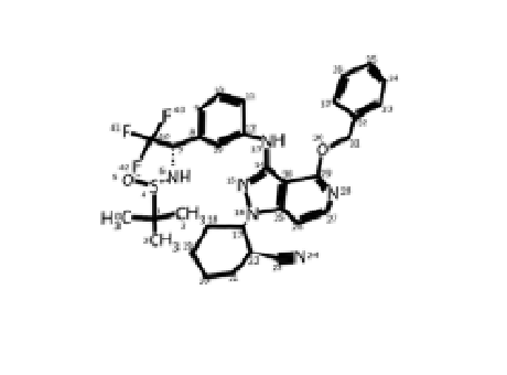 CC(C)(C)[S+]([O-])N[C@@H](c1cccc(Nc2nn([C@H]3CCCC[C@@H]3C#N)c3ccnc(OCc4ccccc4)c23)c1)C(F)(F)F